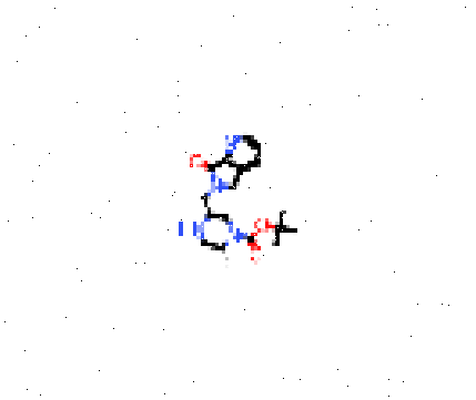 C[C@@H]1CN[C@@H](CN2Cc3cccnc3C2=O)CN1C(=O)OC(C)(C)C